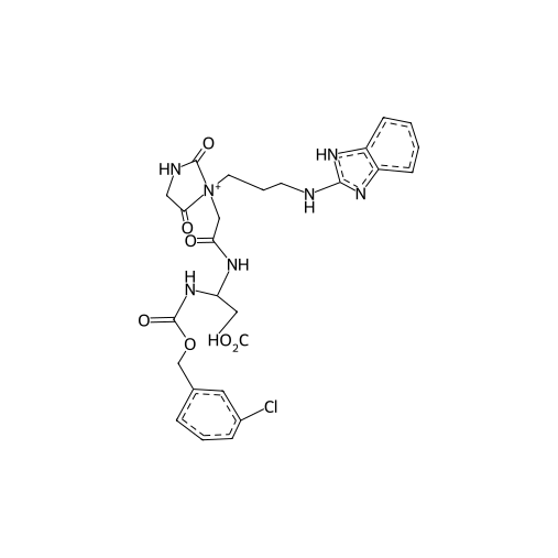 O=C(O)CC(NC(=O)C[N+]1(CCCNc2nc3ccccc3[nH]2)C(=O)CNC1=O)NC(=O)OCc1cccc(Cl)c1